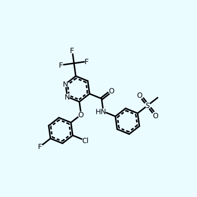 CS(=O)(=O)c1cccc(NC(=O)c2cc(C(F)(F)F)nnc2Oc2ccc(F)cc2Cl)c1